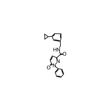 O=C(NCc1cccc(C2CC2)c1)c1ccc(=O)n(-c2ccccc2)n1